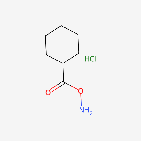 Cl.NOC(=O)C1CCCCC1